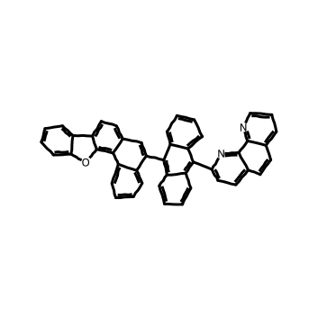 c1cnc2c(c1)ccc1ccc(-c3c4ccccc4c(-c4cc5ccc6c7ccccc7oc6c5c5ccccc45)c4ccccc34)nc12